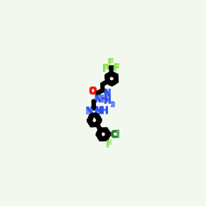 NC(Cc1cccc(C(F)(F)F)c1)C(=O)NCc1nc2ccc(-c3ccc(F)c(Cl)c3)cc2[nH]1